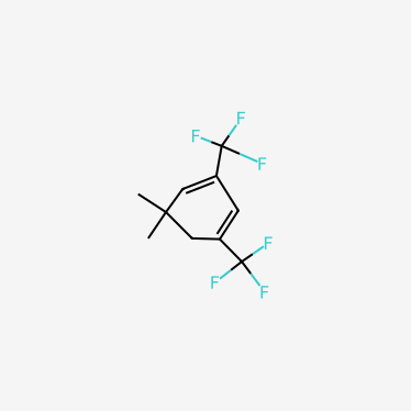 CC1(C)C=C(C(F)(F)F)C=C(C(F)(F)F)C1